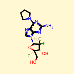 C[C@]1(F)[C@H](n2cnc3c(N4CCCC4)nc(N)nc32)O[C@](F)(CO)[C@H]1O